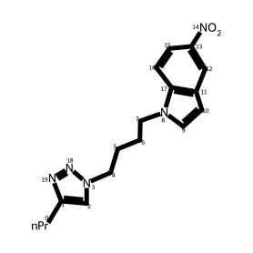 CCCc1cn(CCCCn2ccc3cc([N+](=O)[O-])ccc32)nn1